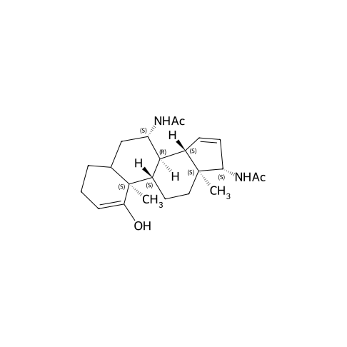 CC(=O)N[C@H]1CC2CCC=C(O)[C@]2(C)[C@H]2CC[C@]3(C)[C@@H](NC(C)=O)C=C[C@H]3[C@H]12